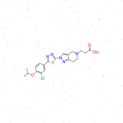 CC(C)Oc1ccc(-c2nnc(-n3cc4c(n3)CCN(CCC(=O)O)C4)s2)cc1Cl